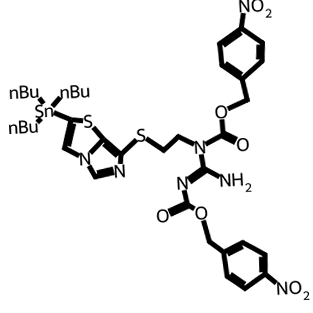 CCC[CH2][Sn]([CH2]CCC)([CH2]CCC)[c]1cn2cnc(SCCN(C(=O)OCc3ccc([N+](=O)[O-])cc3)C(N)=NC(=O)OCc3ccc([N+](=O)[O-])cc3)c2s1